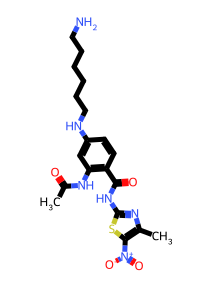 CC(=O)Nc1cc(NCCCCCCN)ccc1C(=O)Nc1nc(C)c([N+](=O)[O-])s1